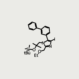 CCOCc1nc(I)c(-c2cccc(-c3ccccc3)c2)n1CC(C)(C)O[Si](C)(C)C(C)(C)C